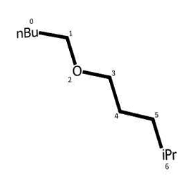 CCCCCOCCCC(C)C